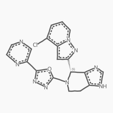 Clc1cccn2nc([C@@H]3c4nc[nH]c4CCN3c3nnc(-c4cnccn4)o3)cc12